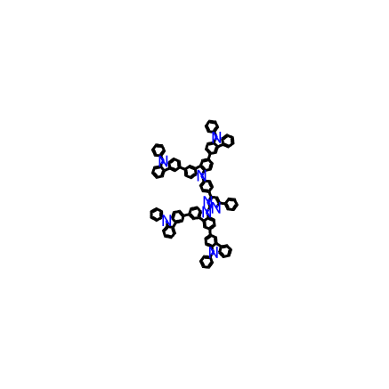 c1ccc(-c2cc(-c3ccc(-n4c5ccc(-c6ccc7c(c6)c6ccccc6n7-c6ccccc6)cc5c5cc(-c6ccc7c(c6)c6ccccc6n7-c6ccccc6)ccc54)cc3)nc(-n3c4ccc(-c5ccc6c(c5)c5ccccc5n6-c5ccccc5)cc4c4cc(-c5ccc6c(c5)c5ccccc5n6-c5ccccc5)ccc43)n2)cc1